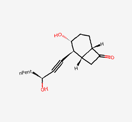 CCCCC[C@H](O)C#C[C@@H]1[C@H]2CC(=O)[C@H]2CC[C@H]1O